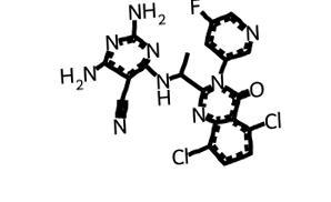 CC(Nc1nc(N)nc(N)c1C#N)c1nc2c(Cl)ccc(Cl)c2c(=O)n1-c1cncc(F)c1